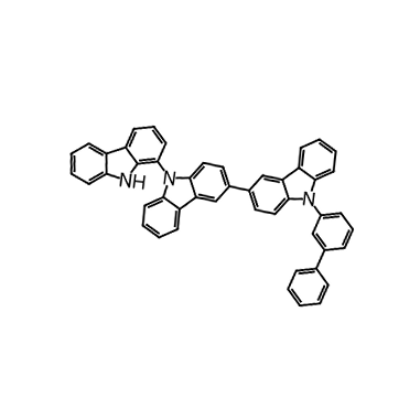 c1ccc(-c2cccc(-n3c4ccccc4c4cc(-c5ccc6c(c5)c5ccccc5n6-c5cccc6c5[nH]c5ccccc56)ccc43)c2)cc1